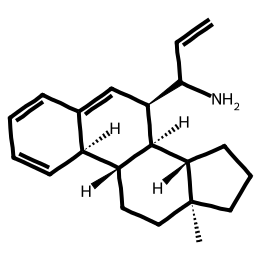 C=CC(N)[C@@H]1C=C2C=CC=C[C@@H]2[C@H]2CC[C@]3(C)CCC[C@H]3[C@@H]21